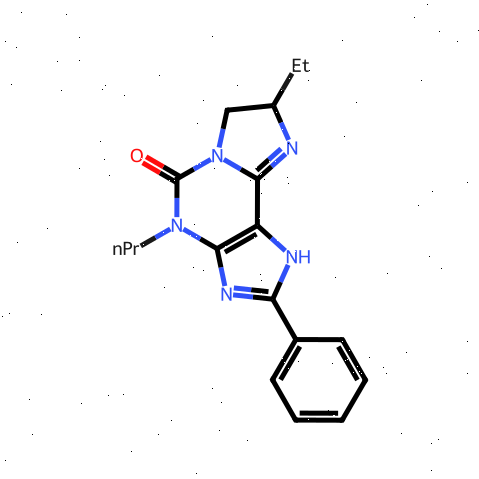 CCCN1C(=O)N2CC(CC)N=C2c2[nH]c(-c3ccccc3)nc21